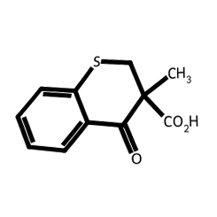 CC1(C(=O)O)CSc2ccccc2C1=O